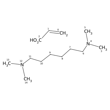 C=CC(=O)O.CN(C)CCCCCCN(C)C